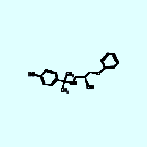 CC(C)(NC[C@H](O)COc1ccccc1)c1ccc(O)cc1